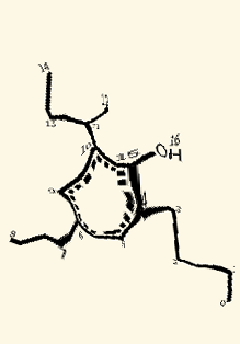 CCCCc1cc(CC)cc(C(C)CC)c1O